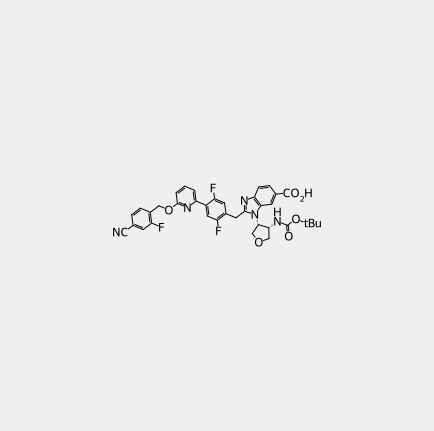 CC(C)(C)OC(=O)N[C@@H]1COC[C@@H]1n1c(Cc2cc(F)c(-c3cccc(OCc4ccc(C#N)cc4F)n3)cc2F)nc2ccc(C(=O)O)cc21